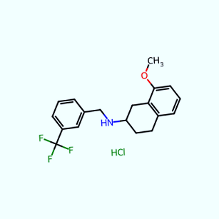 COc1cccc2c1CC(NCc1cccc(C(F)(F)F)c1)CC2.Cl